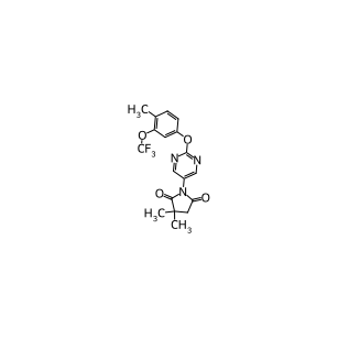 Cc1ccc(Oc2ncc(N3C(=O)CC(C)(C)C3=O)cn2)cc1OC(F)(F)F